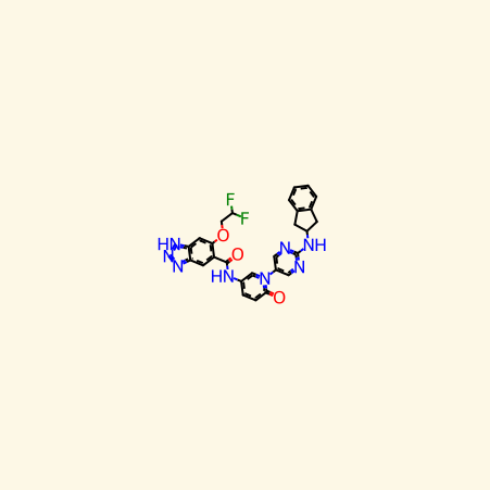 O=C(Nc1ccc(=O)n(-c2cnc(NC3Cc4ccccc4C3)nc2)c1)c1cc2nn[nH]c2cc1OCC(F)F